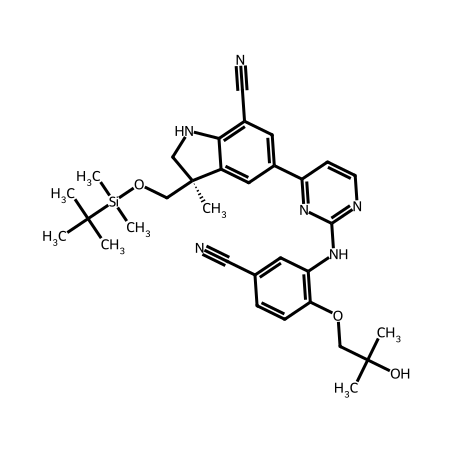 CC(C)(O)COc1ccc(C#N)cc1Nc1nccc(-c2cc(C#N)c3c(c2)[C@@](C)(CO[Si](C)(C)C(C)(C)C)CN3)n1